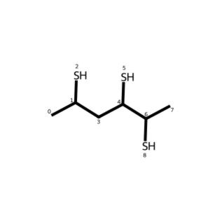 CC(S)CC(S)C(C)S